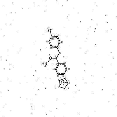 C1CC2CC1O2.COC(Cc1cc[n+]([O-])cc1)c1ccccc1